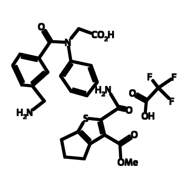 COC(=O)c1c(C(N)=O)sc2c1CCC2.NCc1cccc(C(=O)N(CC(=O)O)c2ccccc2)c1.O=C(O)C(F)(F)F